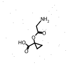 NCC(=O)OC1(C(=O)O)CC1